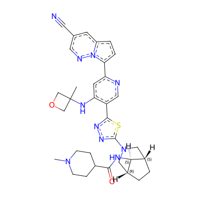 CN1CCC(C(=O)N[C@@H]2[C@@H]3CC[C@H]2CN(c2nnc(-c4cnc(-c5ccc6cc(C#N)cnn56)cc4NC4(C)COC4)s2)C3)CC1